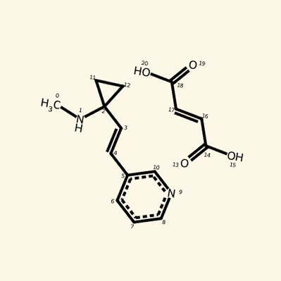 CNC1(C=Cc2cccnc2)CC1.O=C(O)C=CC(=O)O